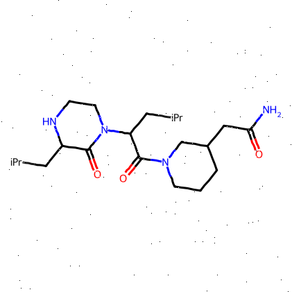 CC(C)CC1NCCN(C(CC(C)C)C(=O)N2CCCC(CC(N)=O)C2)C1=O